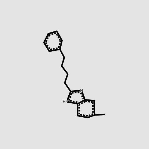 Cc1ccc2[nH]c(CCCCc3ccccc3)nc2c1